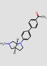 CC(=O)c1ccc(-c2ccc(N3CC[C@@H]4CN(C)C[C@@H]43)cc2)cc1